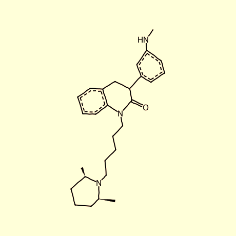 CNc1cccc(C2Cc3ccccc3N(CCCCCN3[C@H](C)CCC[C@@H]3C)C2=O)c1